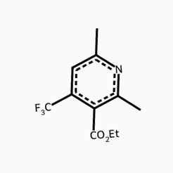 CCOC(=O)c1c(C(F)(F)F)cc(C)nc1C